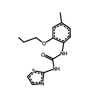 CCCOc1cc(C)ccc1NC(=O)Nc1nccs1